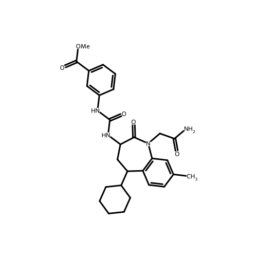 COC(=O)c1cccc(NC(=O)NC2CC(C3CCCCC3)c3ccc(C)cc3N(CC(N)=O)C2=O)c1